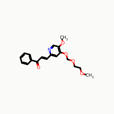 COCCOCOc1cc(C=CC(=O)c2ccccc2)ncc1OC